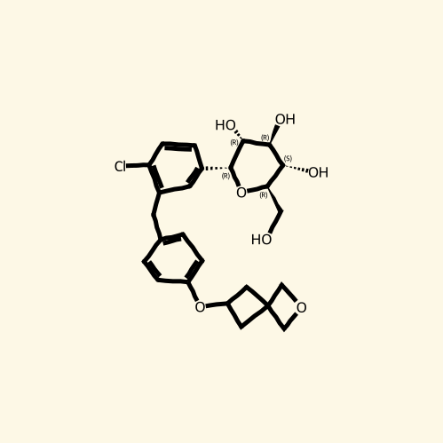 OC[C@H]1O[C@H](c2ccc(Cl)c(Cc3ccc(OC4CC5(COC5)C4)cc3)c2)[C@H](O)[C@@H](O)[C@@H]1O